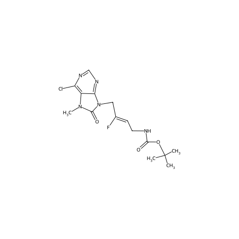 Cn1c(=O)n(C/C(F)=C/CNC(=O)OC(C)(C)C)c2ncnc(Cl)c21